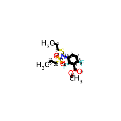 CCCSN(c1ccc(F)c(C(=O)OC)c1F)S(=O)(=O)CCC